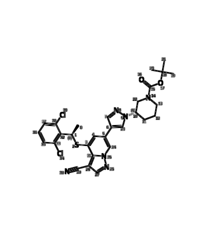 C[C@@H](Sc1cc(-c2cnn([C@H]3CCCN(C(=O)OC(C)(C)C)C3)c2)cn2ncc(C#N)c12)c1c(Cl)cccc1Cl